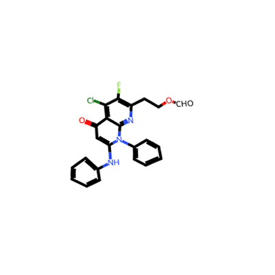 O=COCCc1nc2c(c(Cl)c1F)c(=O)cc(Nc1ccccc1)n2-c1ccccc1